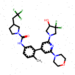 Cc1ccc(NC(=O)N2CCC(CC(F)(F)F)C2)cc1-c1cc(N2CCOCC2)nc(N2CC(O)C(F)(F)C2)c1